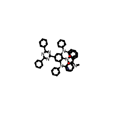 C=Nc1c(/C=C\C)n(-c2c(N(c3ccccc3)c3ccccc3)cc(-c3nc(-c4ccccc4)nc(-c4ccccc4)n3)cc2N(c2ccccc2)c2ccccc2)c2ccccc12